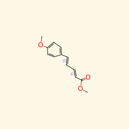 COC(=O)/C=C/C=C/c1ccc(OC)cc1